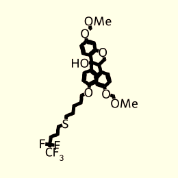 COCOc1ccc(C2COc3cc(OCOC)ccc3C2(O)c2ccc(OCCCCCSCCCC(F)(F)C(F)(F)F)cc2)cc1